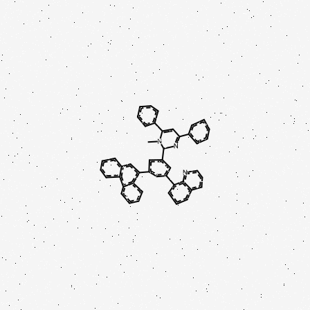 CN1C(c2ccccc2)=CC(c2ccccc2)=NC1c1cc(-c2cc3ccccc3c3ccccc23)cc(-c2cccc3cccnc23)c1